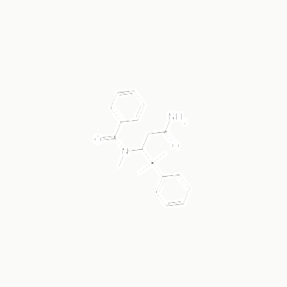 CN(C(=O)c1ccccc1)C(CC(N)=O)C(C)(C)c1ccccc1